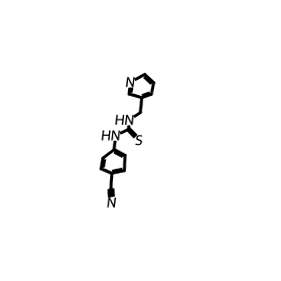 N#Cc1ccc(NC(=S)NCc2cccnc2)cc1